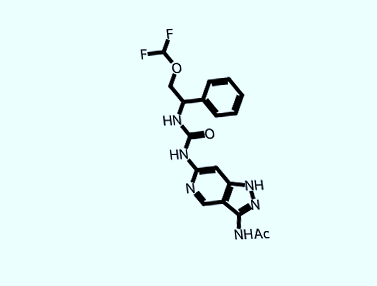 CC(=O)Nc1n[nH]c2cc(NC(=O)NC(COC(F)F)c3ccccc3)ncc12